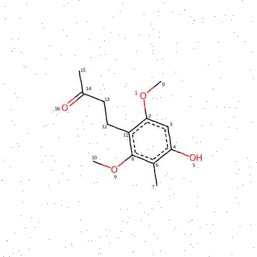 COc1cc(O)c(C)c(OC)c1CCC(C)=O